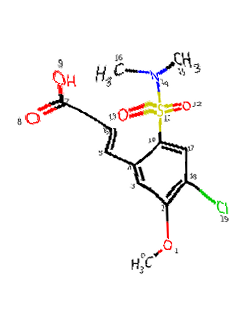 COc1cc(C=CC(=O)O)c(S(=O)(=O)N(C)C)cc1Cl